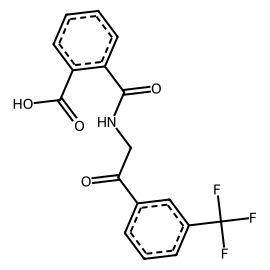 O=C(CNC(=O)c1ccccc1C(=O)O)c1cccc(C(F)(F)F)c1